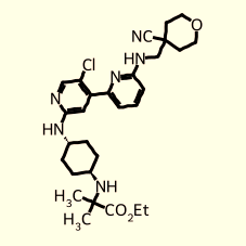 CCOC(=O)C(C)(C)N[C@H]1CC[C@H](Nc2cc(-c3cccc(NCC4(C#N)CCOCC4)n3)c(Cl)cn2)CC1